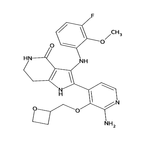 COc1c(F)cccc1Nc1c(-c2ccnc(N)c2OCC2CCO2)[nH]c2c1C(=O)NCC2